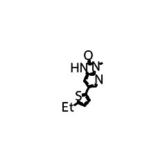 CCc1ccc(-c2cnc3c(c2)[nH]c(=O)n3C)s1